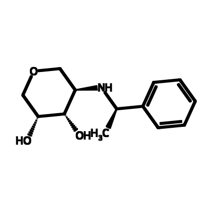 C[C@@H](N[C@@H]1COC[C@@H](O)[C@H]1O)c1ccccc1